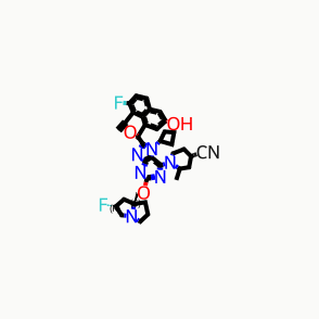 C#Cc1c(F)ccc2cc(O)cc(C(=O)c3nc4nc(OC[C@@]56CCCN5C[C@H](F)C6)nc(N5CCC(C#N)CC5C)c4n3C3CCC3)c12